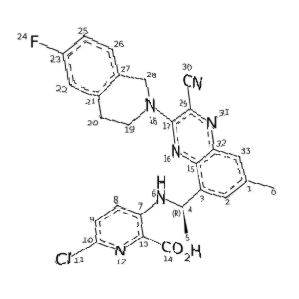 Cc1cc([C@@H](C)Nc2ccc(Cl)nc2C(=O)O)c2nc(N3CCc4cc(F)ccc4C3)c(C#N)nc2c1